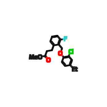 CCc1ccc(OCc2c(F)cccc2CCC(=O)OC)c(Cl)c1